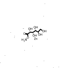 NOC(=O)[C@H](O)[C@@H](O)[C@H](O)[C@H](O)CO.[Zn]